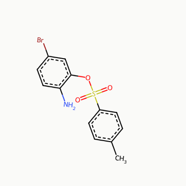 Cc1ccc(S(=O)(=O)Oc2cc(Br)ccc2N)cc1